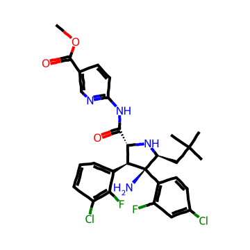 COC(=O)c1ccc(NC(=O)[C@@H]2N[C@@H](CC(C)(C)C)[C@](N)(c3ccc(Cl)cc3F)[C@H]2c2cccc(Cl)c2F)nc1